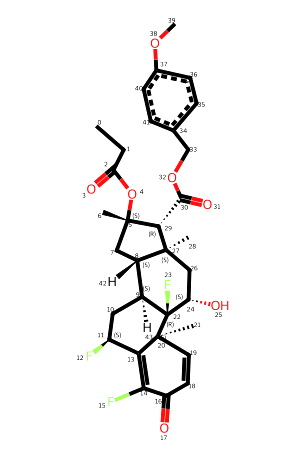 CCC(=O)O[C@@]1(C)C[C@H]2[C@@H]3C[C@H](F)C4=C(F)C(=O)C=C[C@]4(C)[C@@]3(F)[C@@H](O)C[C@]2(C)[C@H]1C(=O)OCc1ccc(OC)cc1